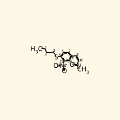 CCCCSc1ccc(/C=C\C(C)=O)cc1[N+](=O)[O-]